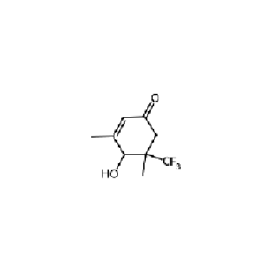 CC1=CC(=O)CC(C)(C(F)(F)F)C1O